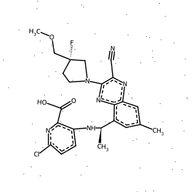 COC[C@]1(F)CCN(c2nc3c([C@@H](C)Nc4ccc(Cl)nc4C(=O)O)cc(C)cc3nc2C#N)C1